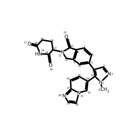 Cn1ncc(-c2ccc3c(c2)CN(C2CCC(=O)NC2=O)C3=O)c1-c1ccc2nccn2c1